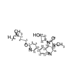 CN(C)CCCOc1ccc(-c2ccc3ncc4c(c3c2)n(C2CC(O)C2)c(=O)n4C)cn1